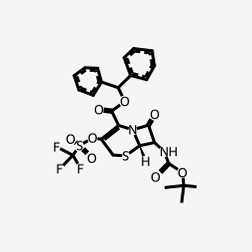 CC(C)(C)OC(=O)NC1C(=O)N2C(C(=O)OC(c3ccccc3)c3ccccc3)=C(OS(=O)(=O)C(F)(F)F)CS[C@@H]12